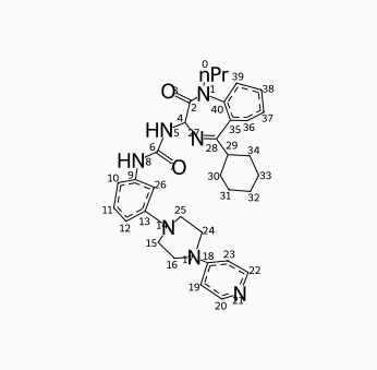 CCCN1C(=O)C(NC(=O)Nc2cccc(N3CCN(c4ccncc4)CC3)c2)N=C(C2CCCCC2)c2ccccc21